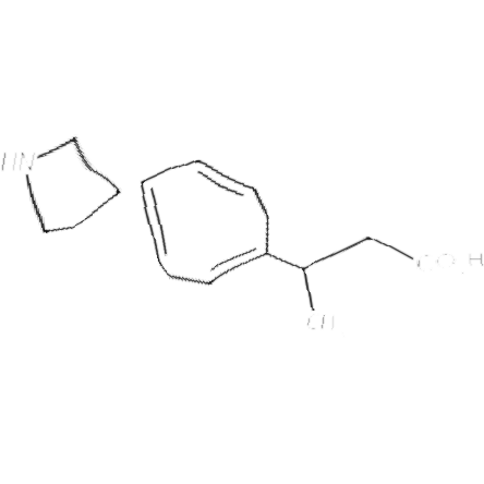 C1CNC1.CC(CC(=O)O)c1ccccc1